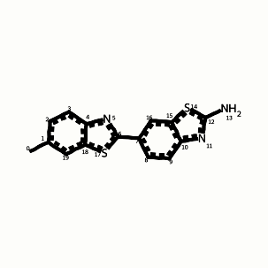 Cc1ccc2nc(-c3ccc4nc(N)sc4c3)sc2c1